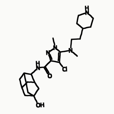 CN(CCC1CCNCC1)c1c(Cl)c(C(=O)NC2C3CC4CC2CC(O)(C4)C3)nn1C